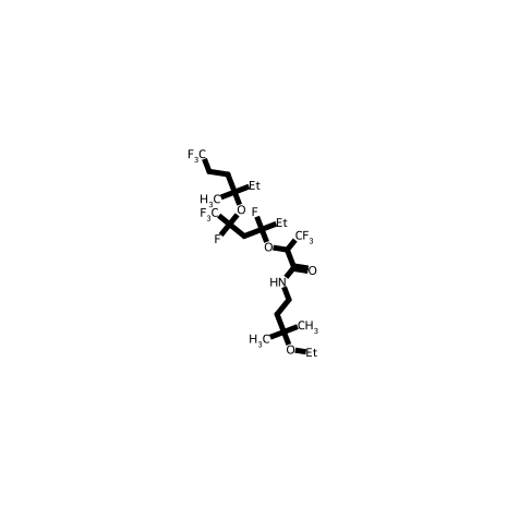 CCOC(C)(C)CCNC(=O)C(OC(F)(CC)CC(F)(OC(C)(CC)CCC(F)(F)F)C(F)(F)F)C(F)(F)F